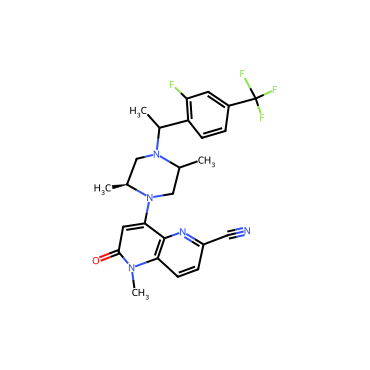 CC1CN(c2cc(=O)n(C)c3ccc(C#N)nc23)[C@@H](C)CN1C(C)c1ccc(C(F)(F)F)cc1F